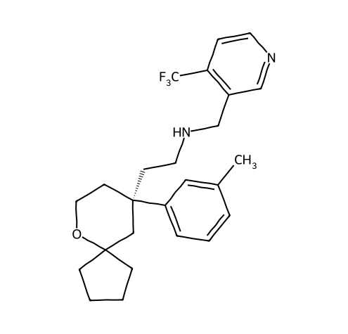 Cc1cccc([C@]2(CCNCc3cnccc3C(F)(F)F)CCOC3(CCCC3)C2)c1